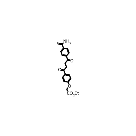 CCOC(=O)COc1ccc(C(=O)CCC(=O)c2ccc(C(N)=S)cc2)cc1